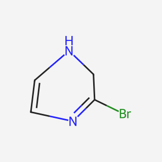 BrC1=NC=CNC1